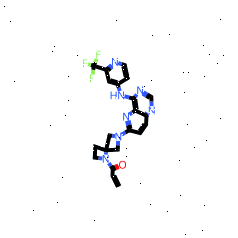 C=CC(=O)N1CCC12CN(c1ccc3ncnc(Nc4ccnc(C(F)(F)F)c4)c3n1)C2